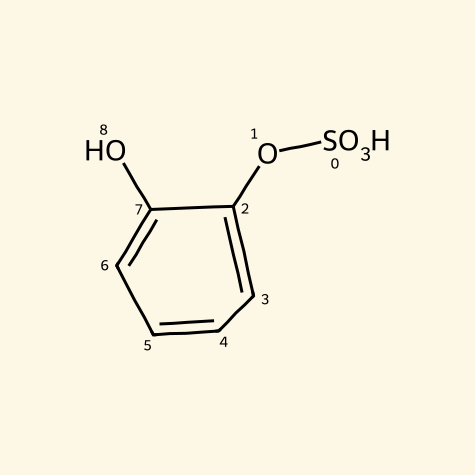 O=S(=O)(O)Oc1ccccc1O